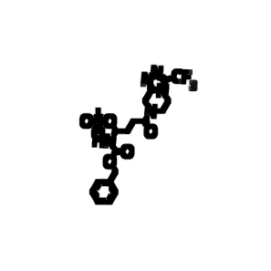 CS(=O)(=O)OC(CCC(=O)N1CCn2c(nnc2C(F)(F)F)C1)NC(=O)OCc1ccccc1